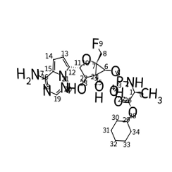 C[C@H](N[PH](=O)OC1[C@@]2(CF)O[C@@H](c3ccc4c(N)ncnn34)[C@H](O)[C@@]12O)C(=O)OC1CCCCC1